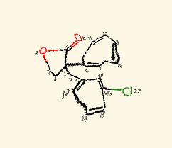 O=C1OCCC1(c1ccccc1)c1cccc(Cl)c1